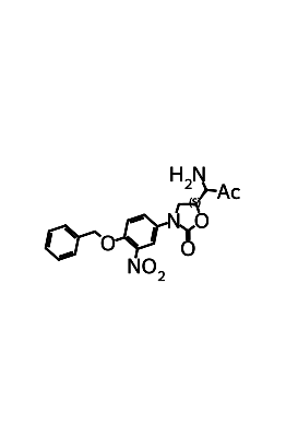 CC(=O)C(N)[C@@H]1CN(c2ccc(OCc3ccccc3)c([N+](=O)[O-])c2)C(=O)O1